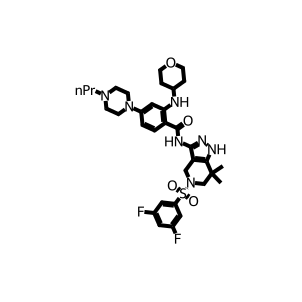 CCCN1CCN(c2ccc(C(=O)Nc3n[nH]c4c3CN(S(=O)(=O)c3cc(F)cc(F)c3)CC4(C)C)c(NC3CCOCC3)c2)CC1